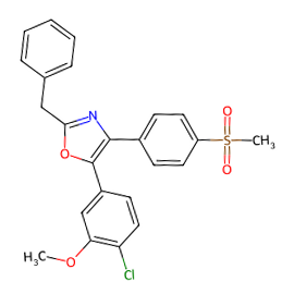 COc1cc(-c2oc(Cc3ccccc3)nc2-c2ccc(S(C)(=O)=O)cc2)ccc1Cl